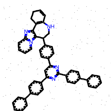 C1=CC2=C(CC1)c1nc3ccccn3c1C(c1ccc(-c3cc(-c4ccc(-c5ccccc5)cc4)nc(-c4ccc(-c5ccccc5)cc4)n3)cc1)CN2